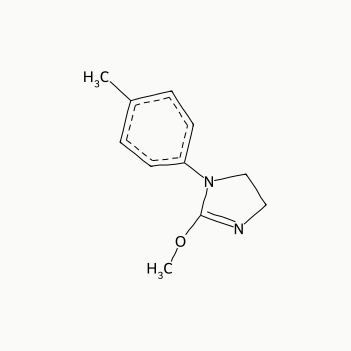 COC1=NCCN1c1ccc(C)cc1